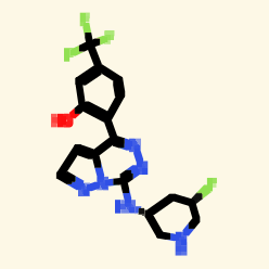 Oc1cc(C(F)(F)F)ccc1-c1nnc(N[C@H]2CNC[C@H](F)C2)n2nccc12